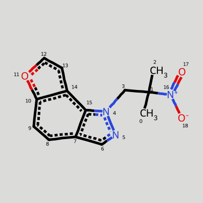 CC(C)(Cn1ncc2ccc3occc3c21)[N+](=O)[O-]